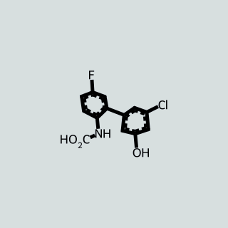 O=C(O)Nc1ccc(F)cc1-c1cc(O)cc(Cl)c1